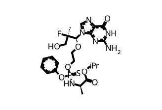 CC(C)OC(=O)[C@@H](C)N[P@](=S)(OCCO[C@@H](n1cnc2c(=O)[nH]c(N)nc21)[C@](C)(F)CO)Oc1ccccc1